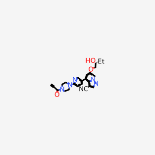 C#CC(=O)N1CCN(c2ccc(-c3cc(OC[C@H](O)CC)cn4ncc(C#N)c34)cn2)CC1